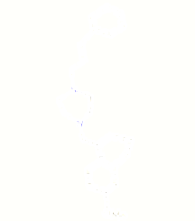 COc1ccc2c(CN3CCN(C/C=C/c4ccccc4)CC3)cccc2c1